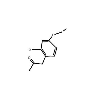 CCOc1ccc(CC(C)=O)c(Br)c1